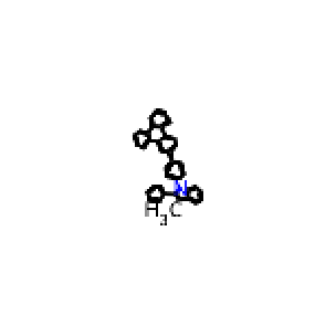 Cc1c(-c2ccccc2)n(-c2ccc(-c3ccc4c5ccccc5c5ccccc5c4c3)cc2)c2ccccc12